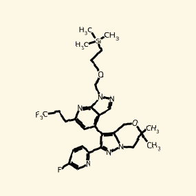 CC1(C)Cn2nc(-c3ccc(F)cn3)c(-c3cc(CCC(F)(F)F)nc4c3cnn4COCC[Si](C)(C)C)c2CO1